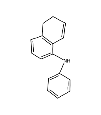 C1=Cc2c(cccc2Nc2ccccc2)CC1